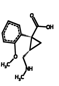 CNC[C@H]1C[C@@]1(C(=O)O)c1ccccc1OC